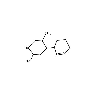 CC1BCC(C)C(C2C=CCCC2)C1